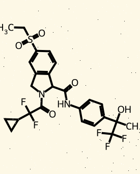 CCS(=O)(=O)c1ccc2c(c1)CN(C(=O)C(F)(F)C1CC1)C2C(=O)Nc1ccc(C(C)(O)C(F)(F)F)cc1